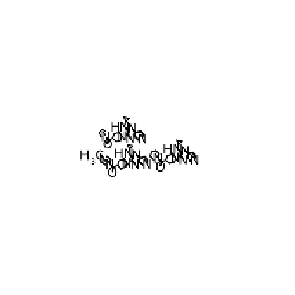 CN1CCN(C(=O)C2CCN(c3nc4cnccc4nc3NC3CC3)CC2)CC1.O=C(C1CCN(c2nc3cnccc3nc2NC2CC2)CC1)N1CCCC1.O=C(C1CCN(c2nc3cnccc3nc2NC2CC2)CC1)N1CCCCC1